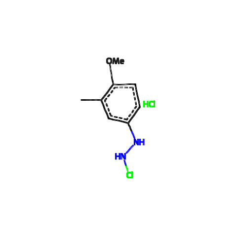 COc1ccc(NNCl)cc1C.Cl